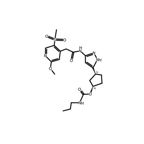 CCCNC(=O)O[C@@H]1CC[C@H](c2cc(NC(=O)Cc3cc(OC)ncc3S(C)(=O)=O)n[nH]2)C1